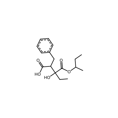 CCC(C)OC(=O)C(O)(CC)C(Cc1ccccc1)C(=O)O